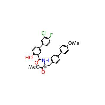 COC(=O)[C@H](Cc1ccc(-c2ccc(OC)cc2)cc1)NC(=O)c1cc(-c2ccc(F)c(Cl)c2)ccc1O